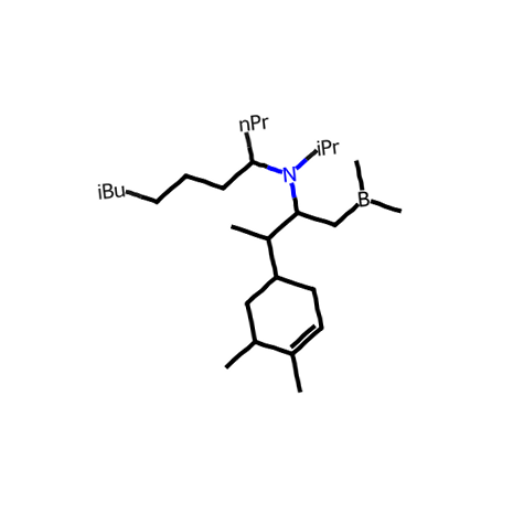 CCCC(CCCC(C)CC)N(C(C)C)C(CB(C)C)C(C)C1CC=C(C)C(C)C1